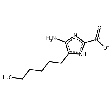 CCCCCCc1[nH]c([N+](=O)[O-])nc1N